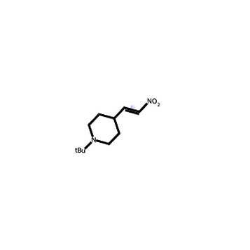 CC(C)(C)N1CCC(/C=C/[N+](=O)[O-])CC1